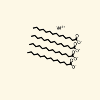 CCCCCCCCCCCCCC(=O)[O-].CCCCCCCCCCCCCC(=O)[O-].CCCCCCCCCCCCCC(=O)[O-].CCCCCCCCCCCCCC(=O)[O-].[W+4]